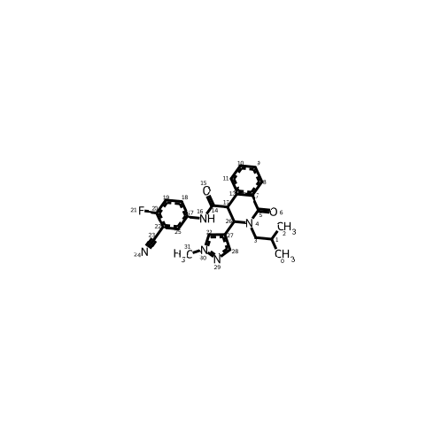 CC(C)CN1C(=O)c2ccccc2C(C(=O)Nc2ccc(F)c(C#N)c2)C1c1cnn(C)c1